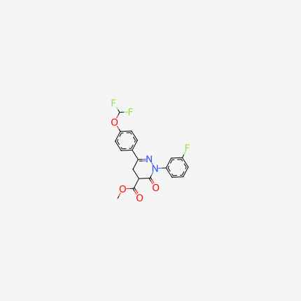 COC(=O)C1CC(c2ccc(OC(F)F)cc2)=NN(c2cccc(F)c2)C1=O